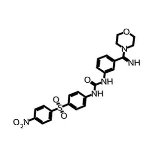 N=C(c1cccc(NC(=O)Nc2ccc(S(=O)(=O)c3ccc([N+](=O)[O-])cc3)cc2)c1)N1CCOCC1